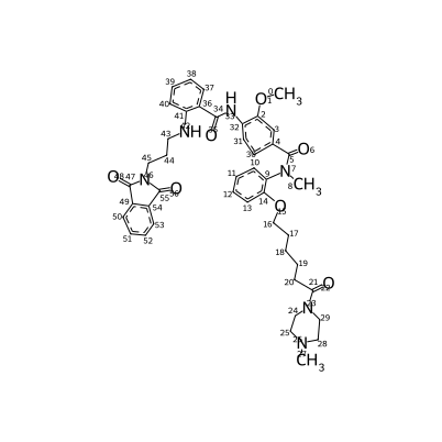 COc1cc(C(=O)N(C)c2ccccc2OCCCCCC(=O)N2CCN(C)CC2)ccc1NC(=O)c1ccccc1NCCCN1C(=O)c2ccccc2C1=O